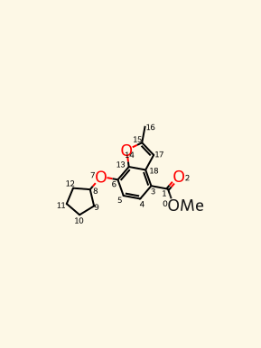 COC(=O)c1ccc(OC2CCCC2)c2oc(C)cc12